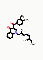 C=C(/C=C\C=C(/C)Cn1cc(C(=O)c2ccc(C)c(C)c2)c(=O)c2ccccc21)COC